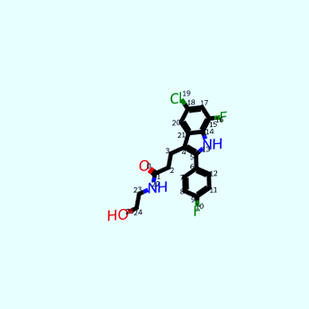 O=C(CCc1c(-c2ccc(F)cc2)[nH]c2c(F)cc(Cl)cc12)NCCO